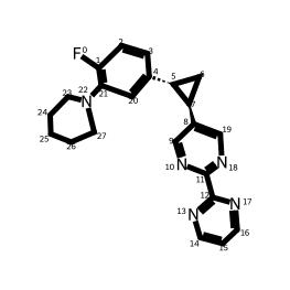 Fc1ccc([C@@H]2C[C@H]2c2cnc(-c3ncccn3)nc2)cc1N1CCCCC1